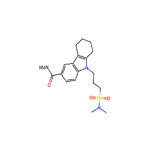 CNC(=O)c1ccc2c(c1)c1c(n2CCCS(=O)(=O)N(C)C)CCCC1